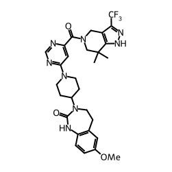 COc1ccc2c(c1)CCN(C1CCN(c3cc(C(=O)N4Cc5c(C(F)(F)F)n[nH]c5C(C)(C)C4)ncn3)CC1)C(=O)N2